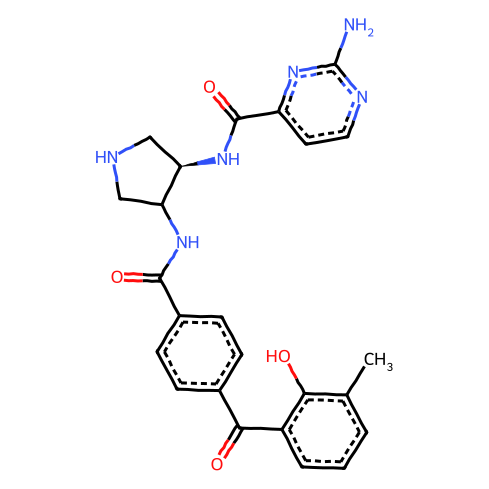 Cc1cccc(C(=O)c2ccc(C(=O)NC3CNC[C@H]3NC(=O)c3ccnc(N)n3)cc2)c1O